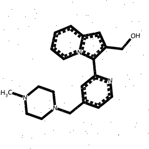 CN1CCN(Cc2ccnc(-c3c(CO)cc4ccccn34)c2)CC1